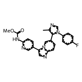 COC(=O)Nc1ccc(-c2cnc3ccc(-c4c(C)ncn4-c4ccc(F)cc4)cn23)cn1